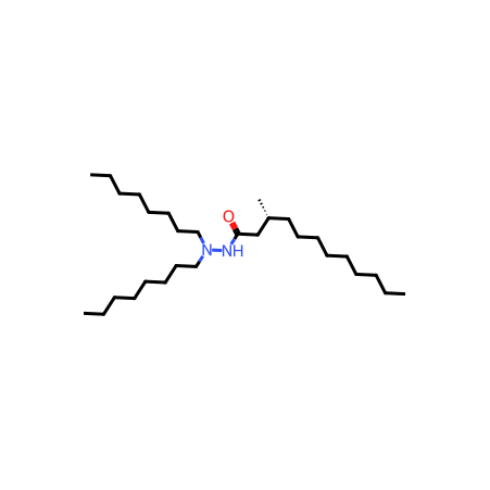 CCCCCCCCC[C@@H](C)CC(=O)NN(CCCCCCCC)CCCCCCCC